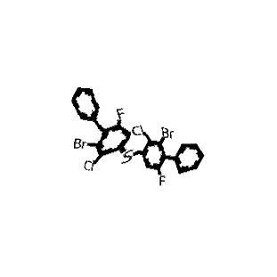 Fc1cc(Sc2cc(F)c(-c3ccccc3)c(Br)c2Cl)c(Cl)c(Br)c1-c1ccccc1